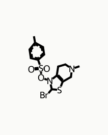 Cc1ccc(S(=O)(=O)ON2C3=C(CN(C)CC3)SC2Br)cc1